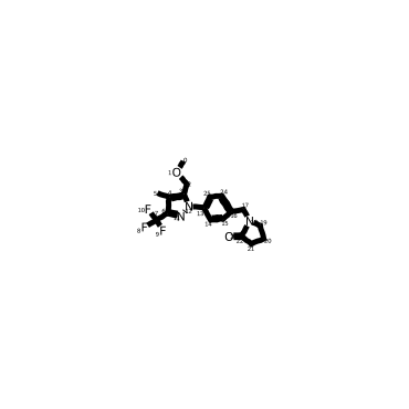 COCc1c(C)c(C(F)(F)F)nn1-c1ccc(CN2CCCC2=O)cc1